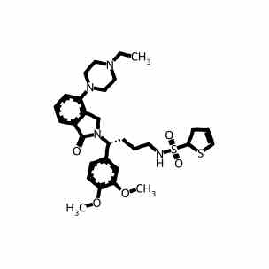 CCN1CCN(c2cccc3c2CN([C@H](CCCNS(=O)(=O)C2CC=CS2)c2ccc(OC)c(OC)c2)C3=O)CC1